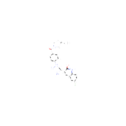 C[C@H]1CCN(C(=O)c2ccc(N(N)/C=C(\N)c3cc4cc(F)ccc4[nH]c3=O)cc2)C1